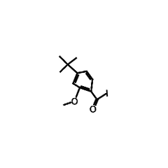 COc1cc(C(C)(C)C)ccc1C(=O)I